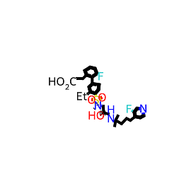 CCc1cc(-c2c(F)cccc2CCC(=O)O)ccc1S(=O)(=O)N(C)C[C@H](O)CNC(C)(C)CCCc1ccncc1F